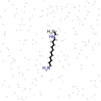 NCCCCCCCCCCCNC[SiH3]